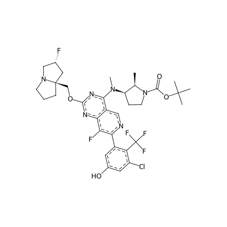 C[C@@H]1[C@H](N(C)c2nc(OC[C@@]34CCCN3C[C@H](F)C4)nc3c(F)c(-c4cc(O)cc(Cl)c4C(F)(F)F)ncc23)CCN1C(=O)OC(C)(C)C